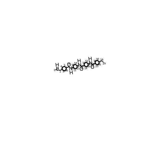 CBCc1ccc(C(=O)Nc2ccc(NC(=O)c3ccc(NC(=O)c4ccc(CC)cc4)cc3)cc2)cc1